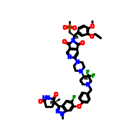 CCOc1cc([C@@H](CS(C)(=O)=O)N2C(=O)c3cnc(N4CCN([C@H]5CCN(Cc6ccc(Oc7cc8c(cc7F)c([C@@]7(C)CCC(=O)NC7=O)nn8C)cc6)CC5(F)F)CC4)cc3C2=O)ccc1OC